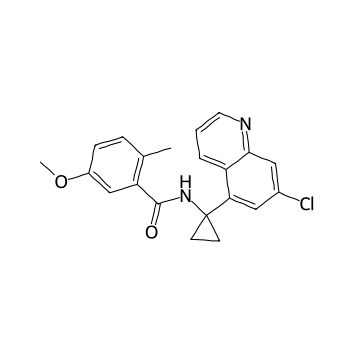 COc1ccc(C)c(C(=O)NC2(c3cc(Cl)cc4ncccc34)CC2)c1